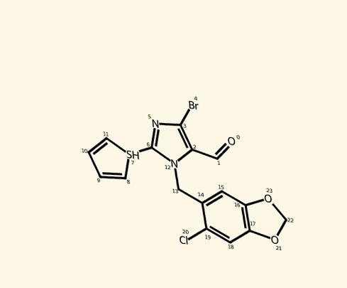 O=Cc1c(Br)nc([SH]2C=CC=C2)n1Cc1cc2c(cc1Cl)OCO2